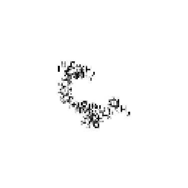 Cc1ncsc1-c1ccc(CNC(=O)[C@@H]2CCCN2C(=O)[C@@H](NC(=O)COCc2ccc(Oc3ccc(C(=O)NC4C(C)(C)CC4(C)C)cc3)cc2)C(C)(C)C)cc1